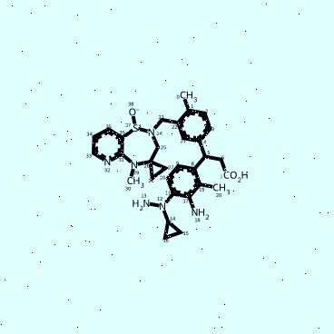 Cc1ccc(C(CC(=O)O)c2ccc(N(N)C3CC3)c(N)c2C)cc1CN1CC2(CC2)N(C)c2ncccc2[S+]1[O-]